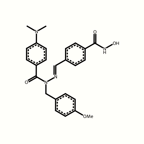 COc1ccc(CN(/N=C/c2ccc(C(=O)NO)cc2)C(=O)c2ccc(N(C)C)cc2)cc1